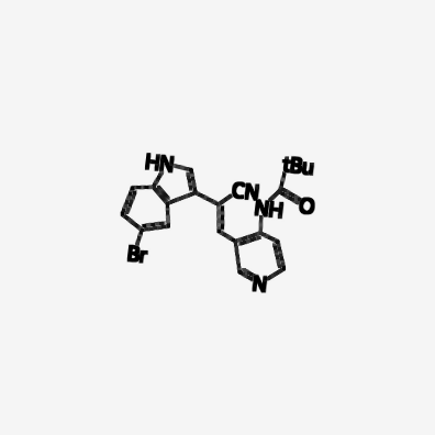 CC(C)(C)C(=O)Nc1ccncc1C=C(C#N)c1c[nH]c2ccc(Br)cc12